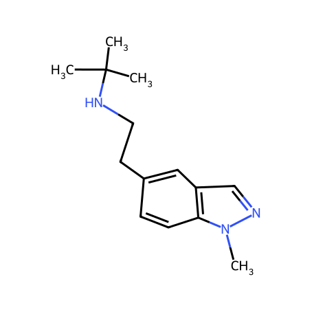 Cn1ncc2cc(CCNC(C)(C)C)ccc21